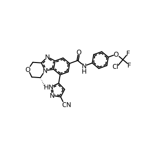 C[C@@H]1COCc2nc3cc(C(=O)Nc4ccc(OC(F)(F)Cl)cc4)cc(-c4cc(C#N)n[nH]4)c3n21